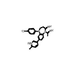 CC(=N)N1C(=N)CCN(c2ccc(Cl)cc2)c2cc(C3=CNC(C)C=C3)ccc21